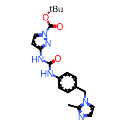 Cc1nccn1Cc1ccc(NC(=O)Nc2ccn(C(=O)OC(C)(C)C)n2)cc1